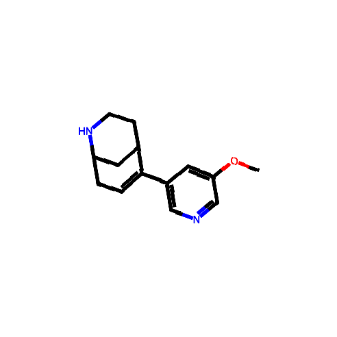 COc1cncc(C2=CCC3CC2CCN3)c1